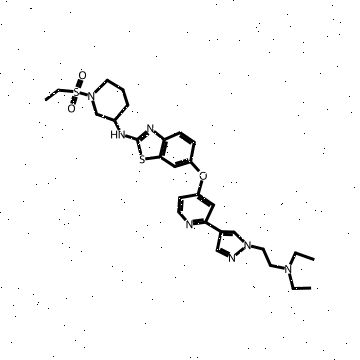 CCN(CC)CCn1cc(-c2cc(Oc3ccc4nc(NC5CCCN(S(=O)(=O)CC)C5)sc4c3)ccn2)cn1